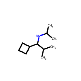 CC(C)NC(C(C)C)C1CCC1